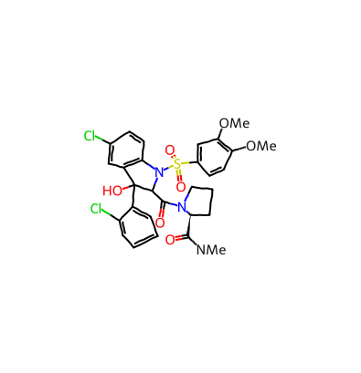 CNC(=O)[C@@H]1CCCN1C(=O)C1N(S(=O)(=O)c2ccc(OC)c(OC)c2)c2ccc(Cl)cc2C1(O)c1ccccc1Cl